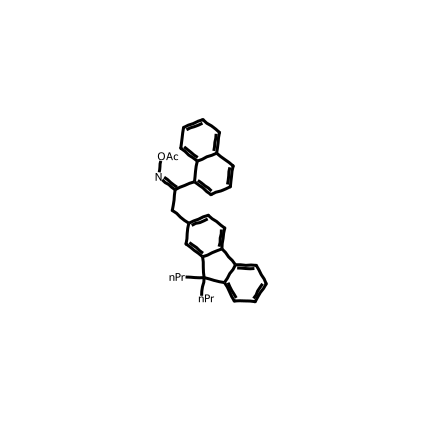 CCCC1(CCC)c2ccccc2-c2ccc(C/C(=N/OC(C)=O)c3cccc4ccccc34)cc21